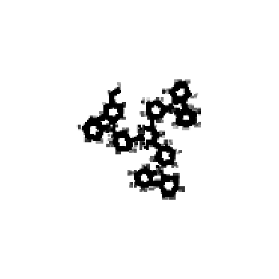 C=Cc1ccc2c(c1)c1ccccc1n2-c1cccc(-c2nc(-c3cccc(-n4c5ccccc5c5ccccc54)c3)cc(-c3cccc(-n4c5ccccc5c5ccccc54)c3)n2)c1